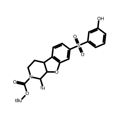 [2H]C1C2Oc3cc(S(=O)(=O)c4cccc(O)c4)ccc3C2CCN1C(=O)OC(C)(C)C